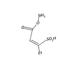 CCC(=CC(=O)O[SiH3])S(=O)(=O)O